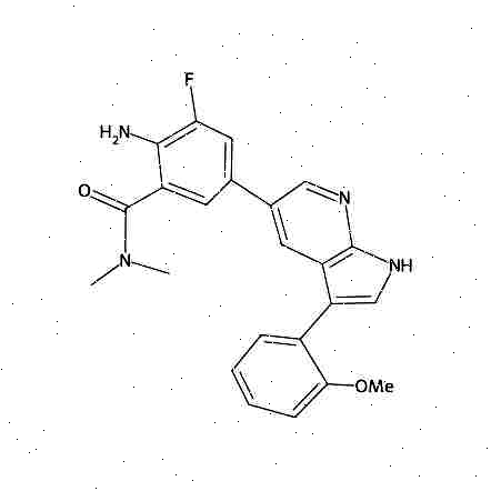 COc1ccccc1-c1c[nH]c2ncc(-c3cc(F)c(N)c(C(=O)N(C)C)c3)cc12